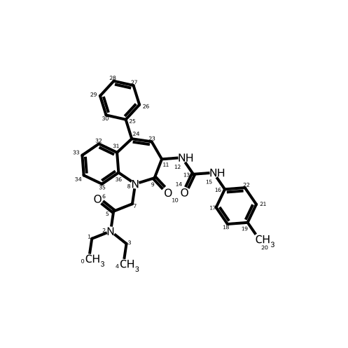 CCN(CC)C(=O)CN1C(=O)C(NC(=O)Nc2ccc(C)cc2)C=C(c2ccccc2)c2ccccc21